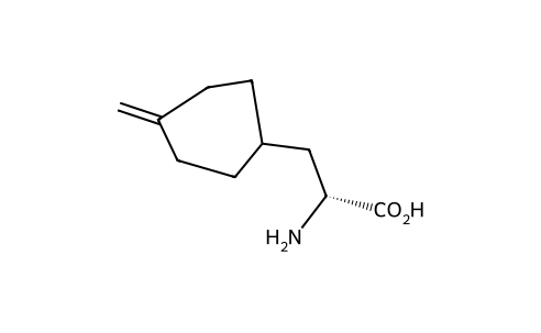 C=C1CCC(C[C@@H](N)C(=O)O)CC1